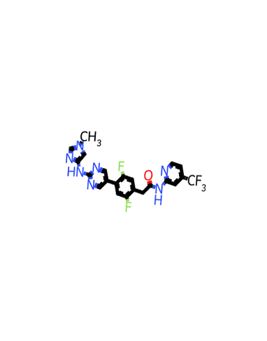 Cn1cnc(Nc2ncc(-c3cc(F)c(CC(=O)Nc4cc(C(F)(F)F)ccn4)cc3F)cn2)c1